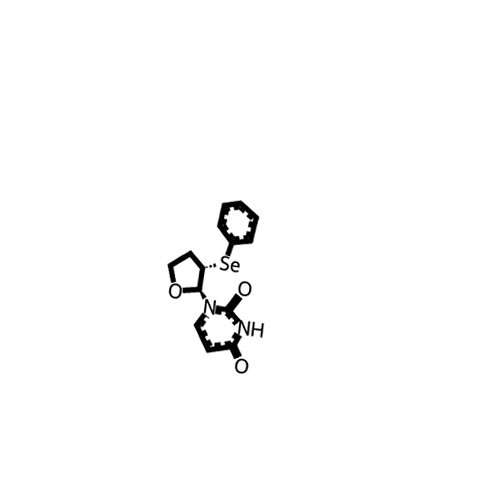 O=c1ccn([C@H]2OCC[C@@H]2[Se]c2ccccc2)c(=O)[nH]1